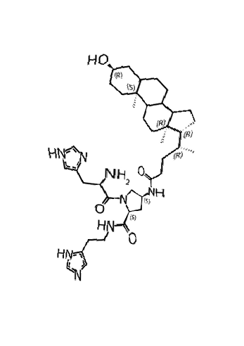 C[C@H](CCC(=O)N[C@H]1C[C@@H](C(=O)NCCc2cnc[nH]2)N(C(=O)C(N)Cc2c[nH]cn2)C1)[C@H]1CCC2C3CCC4C[C@H](O)CC[C@]4(C)C3CC[C@@]21C